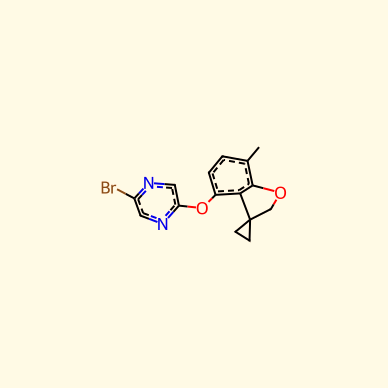 Cc1ccc(Oc2cnc(Br)cn2)c2c1OCC21CC1